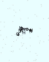 Cn1cc(-c2ccc(CNc3ccnc4c3nc(CCc3ccco3)n4C)cc2)cn1